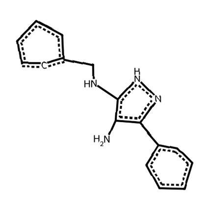 Nc1c(-c2ccccc2)n[nH]c1NCc1ccccc1